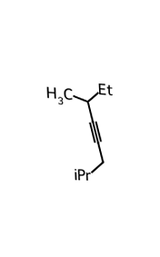 [CH2]CC(C)C#CCC(C)C